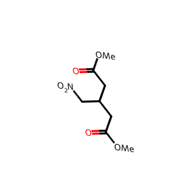 COC(=O)CC(CC(=O)OC)C[N+](=O)[O-]